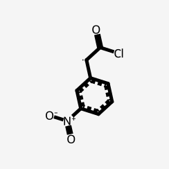 O=C(Cl)[CH]c1cccc([N+](=O)[O-])c1